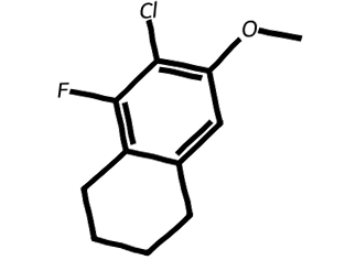 COc1cc2c(c(F)c1Cl)CCCC2